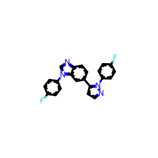 Fc1ccc(-n2nccc2-c2ccc3ncn(-c4ccc(F)cc4)c3c2)cc1